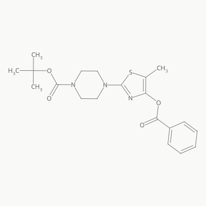 Cc1sc(N2CCN(C(=O)OC(C)(C)C)CC2)nc1OC(=O)c1ccccc1